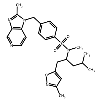 Cc1cc(CC(CC(C)C)N(C)S(=O)(=O)c2ccc(Cn3c(C)nc4cnccc43)cc2)on1